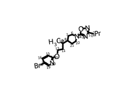 CC(C)c1noc(N2CCC(C(C)CCOc3ccc(Br)cn3)CC2)n1